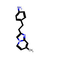 Cc1ccn2cc(CCc3ccc(N)cc3)nc2c1